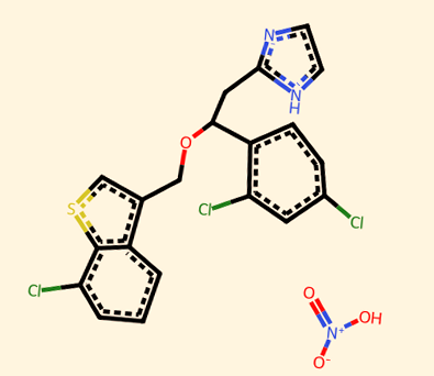 Clc1ccc(C(Cc2ncc[nH]2)OCc2csc3c(Cl)cccc23)c(Cl)c1.O=[N+]([O-])O